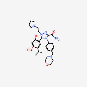 CC(C)c1cc(C2N(CCN3CCCC3)N=C(C(N)=O)N2c2ccc(CN3CCOCC3)cc2)c(O)cc1O